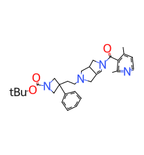 Cc1ccnc(C)c1C(=O)N1C=C2CN(CCC3(c4ccccc4)CN(C(=O)OC(C)(C)C)C3)CC2C1